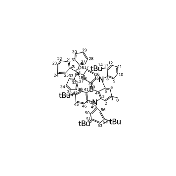 Cc1cc2c3c(c1)N(c1ccccc1C(C)(C)C)c1ccc([Si](c4ccccc4)(c4ccccc4)c4ccccc4)cc1B3c1cc(C(C)(C)C)ccc1N2c1cc(C(C)(C)C)cc(C(C)(C)C)c1